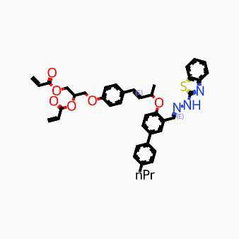 C=CC(=O)OCC(COc1ccc(/C=C/C(C)Oc2ccc(-c3ccc(CCC)cc3)cc2/C=N/Nc2nc3ccccc3s2)cc1)OC(=O)C=C